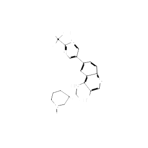 CC(=O)N1CCC[C@H](C(C)Nc2c(Cl)cnc3ccc(-c4cnc(C(C)(C)O)nc4)cc23)C1